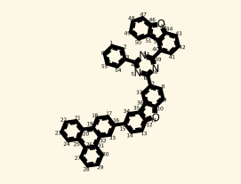 c1ccc(-c2nc(-c3ccc4oc5ccc(-c6ccc7c8ccccc8c8ccccc8c7c6)cc5c4c3)nc(-c3cccc4oc5ccccc5c34)n2)cc1